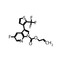 C=CCOC(=O)n1cc(-c2ccsc2C(F)(F)F)c2cc(F)cnc21